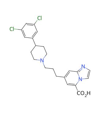 O=C(O)c1cc(CCCN2CCC(c3cc(Cl)cc(Cl)c3)CC2)cc2nccn12